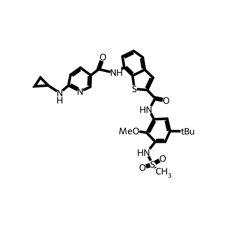 COc1c(NC(=O)c2cc3cccc(NC(=O)c4ccc(NC5CC5)nc4)c3s2)cc(C(C)(C)C)cc1NS(C)(=O)=O